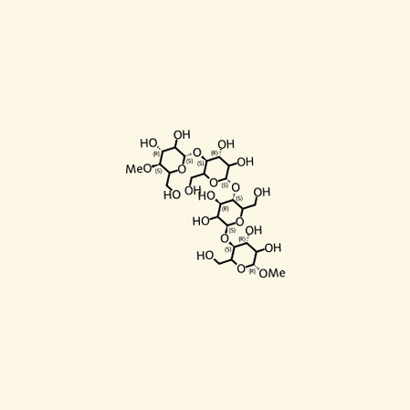 CO[C@@H]1OC(CO)[C@@H](O[C@@H]2OC(CO)[C@@H](O[C@@H]3OC(CO)[C@@H](O[C@@H]4OC(CO)[C@@H](OC)[C@H](O)C4O)[C@H](O)C3O)[C@H](O)C2O)[C@H](O)C1O